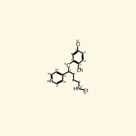 CCNCCCC(Oc1cc(Cl)ccc1C#N)c1ccncc1